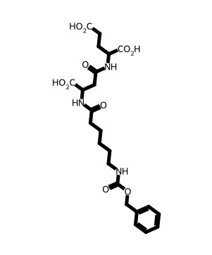 O=C(O)CCC(NC(=O)CC(NC(=O)CCCCCNC(=O)OCc1ccccc1)C(=O)O)C(=O)O